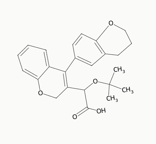 CC(C)(C)OC(C(=O)O)C1=C(c2ccc3c(c2)CCCO3)c2ccccc2OC1